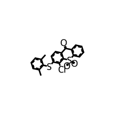 Cc1cccc(C)c1Sc1ccc2c(c1Cl)S(=O)(=O)c1ccccc1C2=O